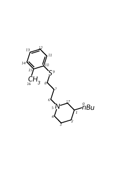 CCCCC1CCCN(CCCSc2ccccc2C)C1